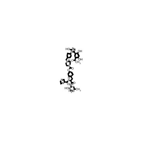 CC(C)C[C@H](NC(=O)C(Cc1ccc(OC(=O)N2CCN(Cc3ccc(-n4c(O)nnc4-c4cc(C(C)C)c(O)cc4O)cc3)CC2)cc1)NC(=O)c1cnccn1)B(O)O